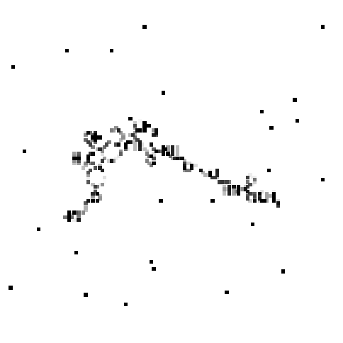 COC(=O)NCCOCCOCCNC(=O)CC[C@@H](C)C1CCC2C(CO)C(C3(C)CCC(OCCO)CC3)CCC21C